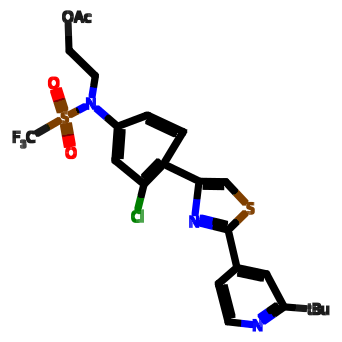 CC(=O)OCCN(c1ccc(-c2csc(-c3ccnc(C(C)(C)C)c3)n2)c(Cl)c1)S(=O)(=O)C(F)(F)F